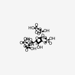 O=P(O)(O)OP(=O)(O)O.O=P(O)(O)O[C@H]1C(OP(=O)(O)OP(=O)(O)O)O[C@H](CO)[C@H]1O